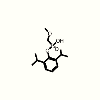 COCP(=O)(O)Oc1c(C(C)C)cccc1C(C)C